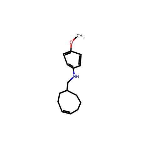 COc1ccc(NCC2CCC=CCCC2)cc1